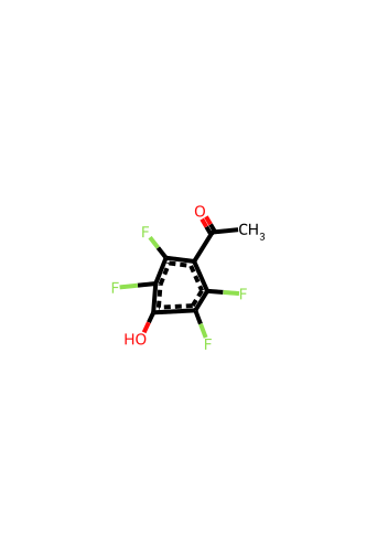 CC(=O)c1c(F)c(F)c(O)c(F)c1F